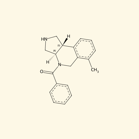 Cc1cccc2c1CN(C(=O)c1ccccc1)[C@H]1CNC[C@H]21